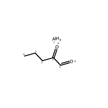 CCCC(=O)C=O.[AlH3]